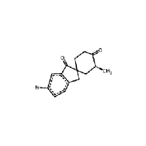 C[C@H]1CC2(CCC1=O)Cc1ccc(Br)cc1C2=O